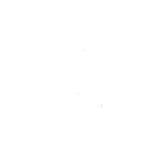 C[C@@H](CCC(=O)/C=C/C1CCCC1)C(=O)O